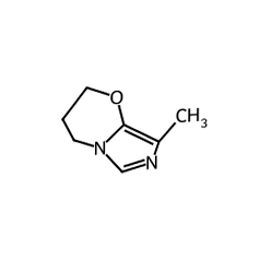 Cc1ncn2c1OCCC2